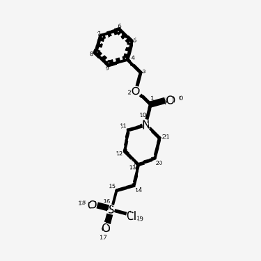 O=C(OCc1ccccc1)N1CCC(CCS(=O)(=O)Cl)CC1